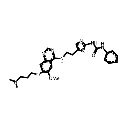 COc1cc2c(NCCc3cnc(NC(=O)Nc4ccccc4)s3)ncnc2cc1OCCCN(C)C